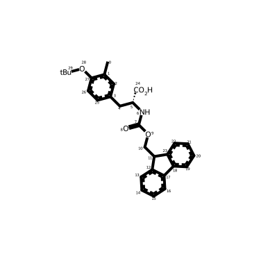 Cc1cc(C[C@@H](NC(=O)OCC2c3ccccc3-c3ccccc32)C(=O)O)ccc1OC(C)(C)C